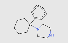 c1ccc(C2(N3CCNCC3)CCCCC2)cc1